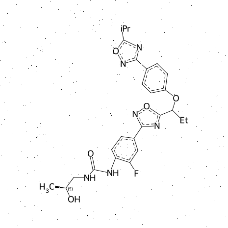 CCC(Oc1ccc(-c2noc(C(C)C)n2)cc1)c1nc(-c2ccc(NC(=O)NC[C@H](C)O)c(F)c2)no1